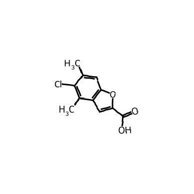 Cc1cc2oc(C(=O)O)cc2c(C)c1Cl